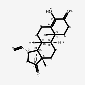 C=C[C@H]1CC(=O)[C@@]2(C)CC[C@H]3[C@@H](CCC4=C(O)C(=O)CC[C@@]43C)[C@H]12